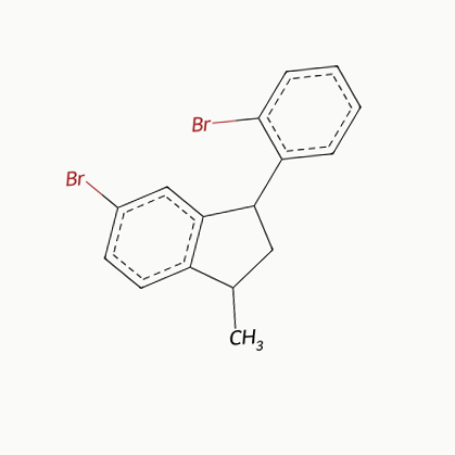 CC1CC(c2ccccc2Br)c2cc(Br)ccc21